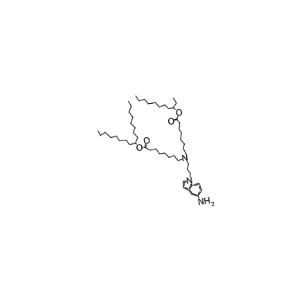 CCCCCCCCC(CC)OC(=O)CCCCCCCN(CCCCCCCC(=O)OC(CCCCCCCC)CCCCCCCC)CCCn1ccc2cc(N)ccc21